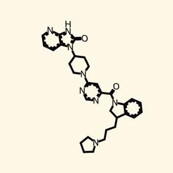 O=C(c1cc(N2CCC(n3c(=O)[nH]c4ncccc43)CC2)ncn1)N1CC(CCCN2CCCC2)c2ccccc21